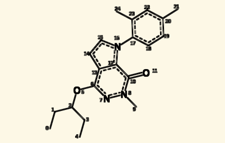 CCC(CC)Oc1nn(C)c(=O)c2c1ccn2-c1ccc(C)cc1C